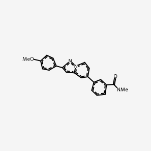 CNC(=O)c1cccc(-c2ccn3nc(-c4ccc(OC)cc4)cc3c2)c1